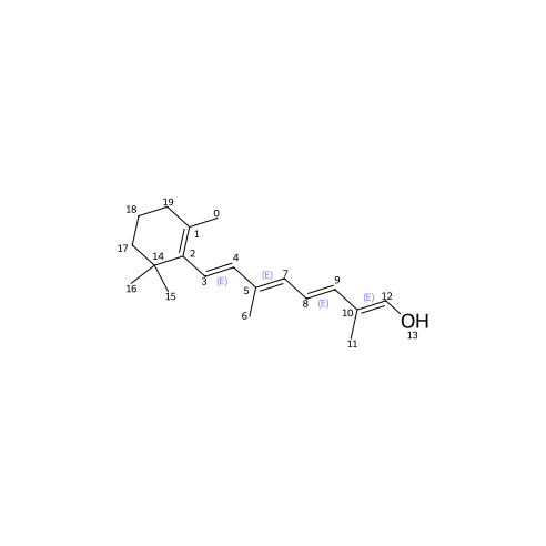 CC1=C(/C=C/C(C)=C/C=C/C(C)=C/O)C(C)(C)CCC1